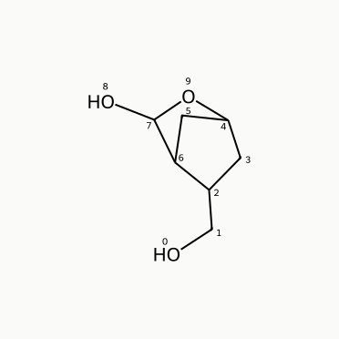 OCC1CC2CC1C(O)O2